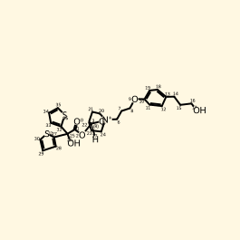 O=C(O[C@H]1C[N+]2(CCCOc3ccc(CCCO)cc3)CCC1CC2)C(O)(c1cccs1)c1cccs1